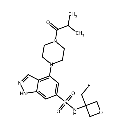 CC(C)C(=O)N1CCN(c2cc(S(=O)(=O)NC3(CF)COC3)cc3[nH]ncc23)CC1